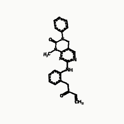 C=CC(=O)Cc1ccccc1Nc1ncc2c(n1)N(C)C(=O)N(c1ccccc1)C2